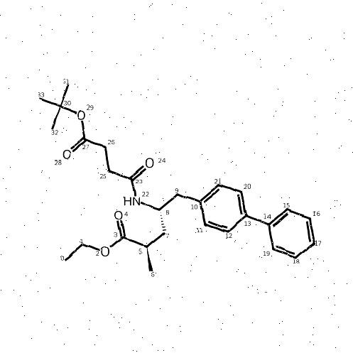 CCOC(=O)[C@H](C)C[C@@H](Cc1ccc(-c2ccccc2)cc1)NC(=O)CCC(=O)OC(C)(C)C